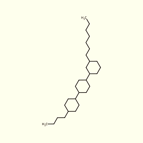 CCCCCCCC1CCCC(C2CCC(C3CCC(CCCC)CC3)CC2)C1